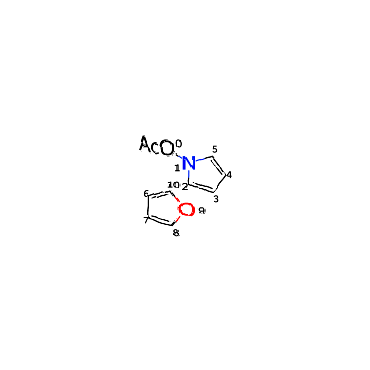 CC(=O)On1cccc1.c1ccoc1